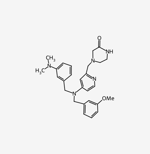 COc1cccc(CN(Cc2cccc(N(C)C)c2)c2ccnc(CN3CCNC(=O)C3)c2)c1